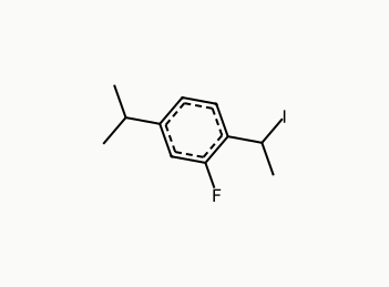 CC(C)c1ccc(C(C)I)c(F)c1